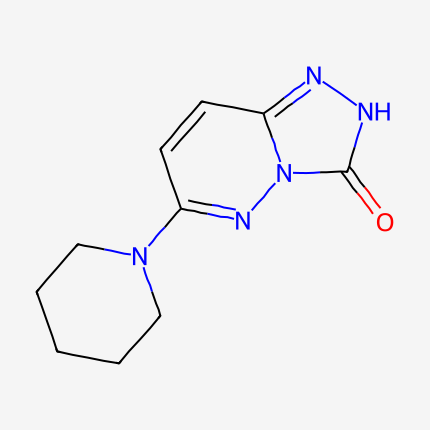 O=c1[nH]nc2ccc(N3CCCCC3)nn12